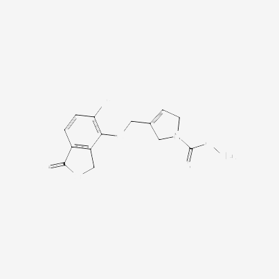 CC(C)(C)OC(=O)N1CC=C(COc2c(Br)ccc3c2COC3=O)C1